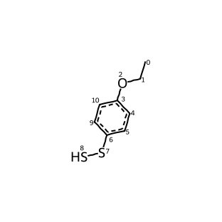 CCOc1ccc(SS)cc1